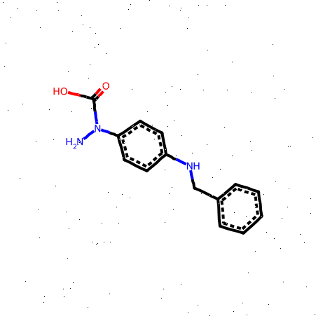 NN(C(=O)O)c1ccc(NCc2ccccc2)cc1